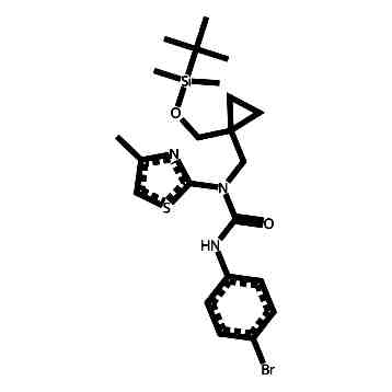 Cc1csc(N(CC2(CO[Si](C)(C)C(C)(C)C)CC2)C(=O)Nc2ccc(Br)cc2)n1